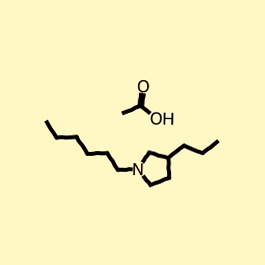 CC(=O)O.CCCCCCN1CCC(CCC)C1